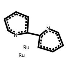 [Ru].[Ru].c1ccc(-c2ccccn2)nc1